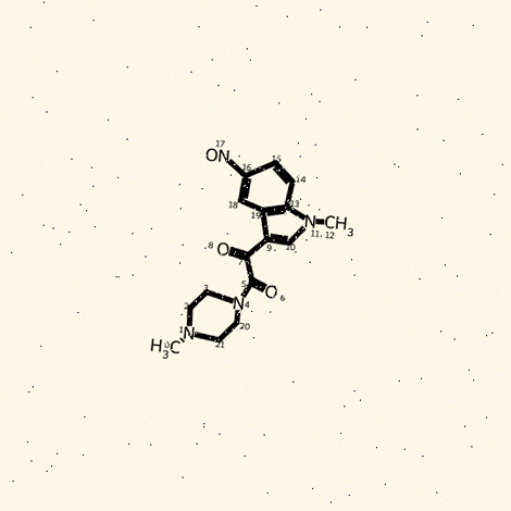 CN1CCN(C(=O)C(=O)c2cn(C)c3ccc(N=O)cc23)CC1